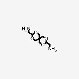 NCC1OCC2(CO1)COC(CN)OC2